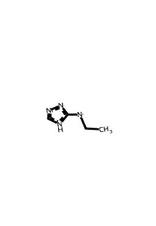 CC[N]c1nnc[nH]1